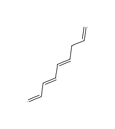 [CH]=C/C=C/C=C/CC=[CH]